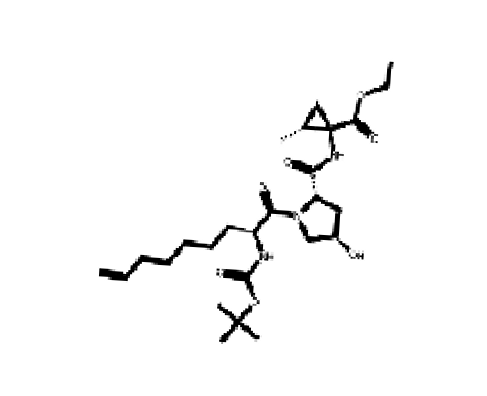 C=CCCCCC[C@H](NC(=O)OC(C)(C)C)C(=O)N1C[C@H](O)C[C@H]1C(=O)N[C@]1(C(=O)OCC)C[C@H]1I